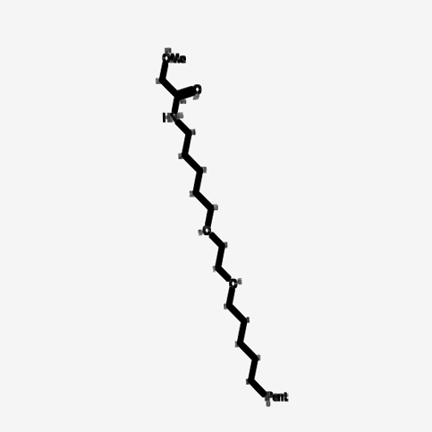 CCCC(C)CCCCCOCCOCCCCCNC(=O)COC